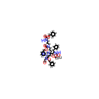 CC(C)(C)OC(=O)NC(Cc1ccccc1)C(=O)C(N)(CCCN(CCCNC(=O)OCc1ccccc1)C(=O)OCc1ccccc1)CCC(N=C=O)OCc1ccccc1